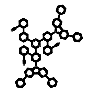 N#Cc1ccccc1-c1cccc(-c2nc(-c3ccc(-n4c5ccc(-c6ccccc6)cc5c5cc(-c6ccccc6)ccc54)cc3-c3ccccc3C#N)nc(-c3ccc(-n4c5ccc(-c6ccccc6)cc5c5cc(-c6ccccc6)ccc54)cc3-c3ccccc3C#N)n2)c1